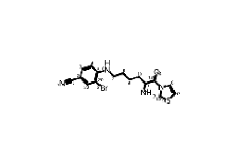 N#Cc1ccc(NCCCCC(N)C(=O)N2C=CSC2)c(Br)c1